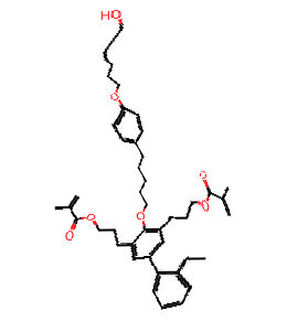 C=C(C)C(=O)OCCCc1cc(-c2ccccc2CC)cc(CCCOC(=O)C(=C)C)c1OCCCCCc1ccc(OCCCCCO)cc1